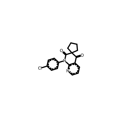 O=C1c2cccnc2N(c2ccc(Cl)cc2)C(=O)C12CCCC2